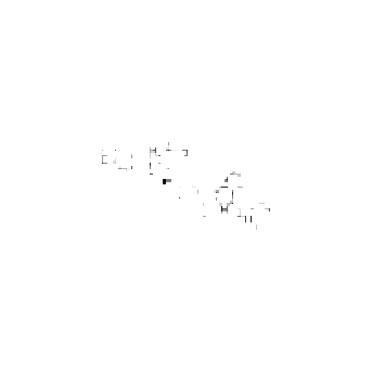 Cc1nc(-c2ccc3c(c2)CCO3)sc1CN[C@H]1CC[C@@H](Nc2nc(N(C)C)c3ccccc3n2)CC1